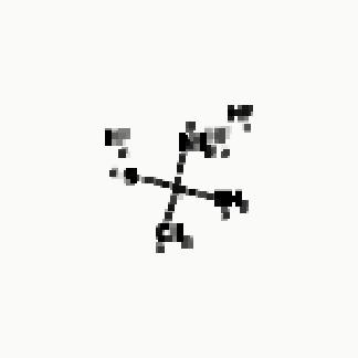 CC(N)(N)[S].F.F.F